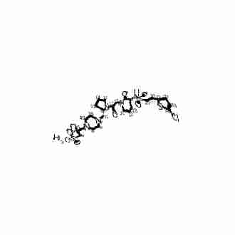 CS(=O)(=O)CC(=O)N1CCN(C[C@@H]2CCCN2C(=O)CN2CCC[C@H](NS(=O)(=O)/C=C/c3ccc(Cl)s3)C2=O)CC1